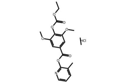 CC.CCOC(=O)Oc1c(OC)cc(C(=O)Oc2ncccc2C)cc1OC.Cl